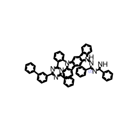 N=C(/N=C(\Nn1c2ccccc2c2cc3c(cc21)c1ccccc1n3-c1ccccc1-c1nc(-c2ccccc2)nc(-c2cccc(-c3ccccc3)c2)n1)c1ccccc1)c1ccccc1